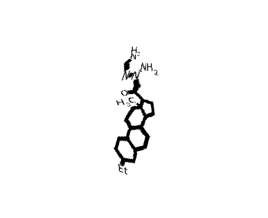 CCC1CCC2C(CCC3C2CCC2(C)C(C(=O)CN(N)/N=C\N)CCC32)C1